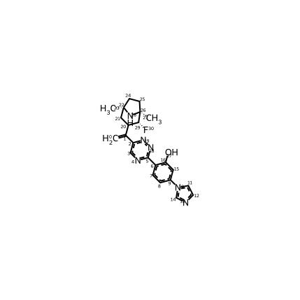 C=C(c1cnc(-c2ccc(-n3ccnc3)cc2O)nn1)C1C[C@@]2(C)CC[C@](C)(N2)[C@@H]1F